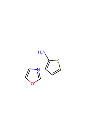 Nc1cccs1.c1cocn1